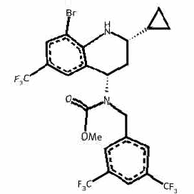 COC(=O)N(Cc1cc(C(F)(F)F)cc(C(F)(F)F)c1)[C@H]1C[C@@H](C2CC2)Nc2c(Br)cc(C(F)(F)F)cc21